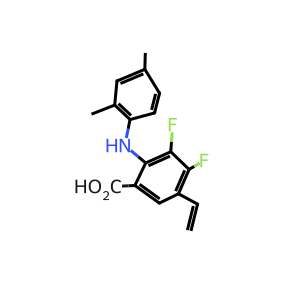 C=Cc1cc(C(=O)O)c(Nc2ccc(C)cc2C)c(F)c1F